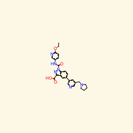 CCOc1ccc(NC(=O)n2nc(C(=O)O)c3cc(-c4cncc(CN5CCCC5)c4)ccc32)cn1